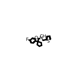 CN(Cc1cccs1)C(=O)C1(c2ccc(F)cc2)CCCC1